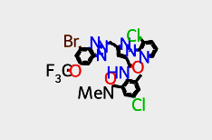 CNC(=O)c1cc(Cl)cc(C)c1NC(=O)c1cc(Cn2nc3cc(OC(F)(F)F)cc(Br)c3n2)nn1-c1ncccc1Cl